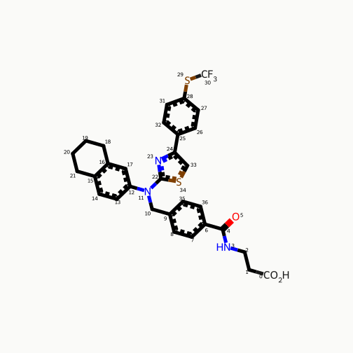 O=C(O)CCNC(=O)c1ccc(CN(c2ccc3c(c2)CCCC3)c2nc(-c3ccc(SC(F)(F)F)cc3)cs2)cc1